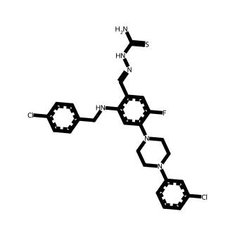 NC(=S)NN=Cc1cc(F)c(N2CCN(c3cccc(Cl)c3)CC2)cc1NCc1ccc(Cl)cc1